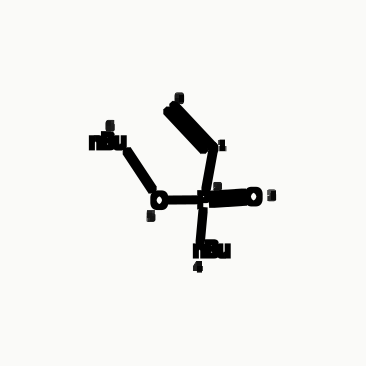 C=CP(=O)(CCCC)OCCCC